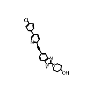 Cn1c(N2CCC(O)CC2)nc2cc(C#Cc3ccc(-c4ccc(Cl)cc4)cn3)ccc21